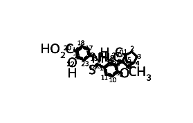 CC12CCC(C1)C1(C)Oc3ccc(C(=S)Nc4ccc(C(=O)O)c(O)c4)cc3C21C